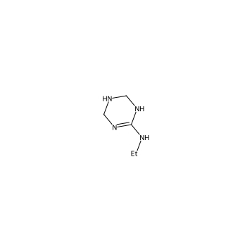 CCNC1=NCNCN1